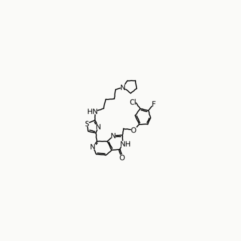 O=c1[nH]c(COc2ccc(F)c(Cl)c2)nc2c(-c3csc(NCCCCN4CCCC4)n3)nccc12